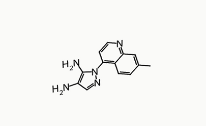 Cc1ccc2c(-n3ncc(N)c3N)ccnc2c1